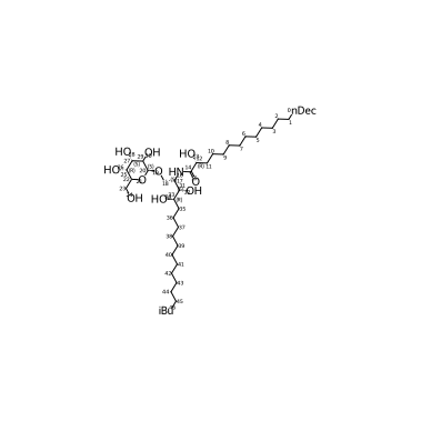 CCCCCCCCCCCCCCCCCCCCC[C@@H](O)C(=O)N[C@@H](CO[C@H]1OC(CO)[C@H](O)[C@H](O)C1O)[C@H](O)[C@H](O)CCCCCCCCCCCC(C)CC